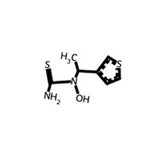 CC(c1ccsc1)N(O)C(N)=S